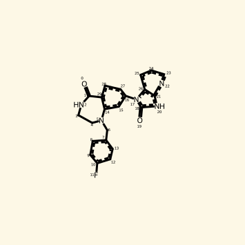 O=C1NCCN(Cc2ccc(F)cc2)c2cc(-n3c(=O)[nH]c4ncccc43)ccc21